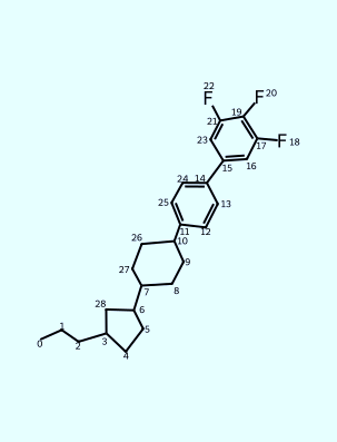 CCCC1CCC(C2CCC(c3ccc(-c4cc(F)c(F)c(F)c4)cc3)CC2)C1